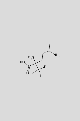 CC(N)CCC(N)(C(=O)O)C(F)(F)F